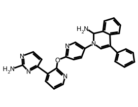 Nc1nccc(-c2cccnc2Oc2ccc(N3C=C(c4ccccc4)c4ccccc4C3N)cn2)n1